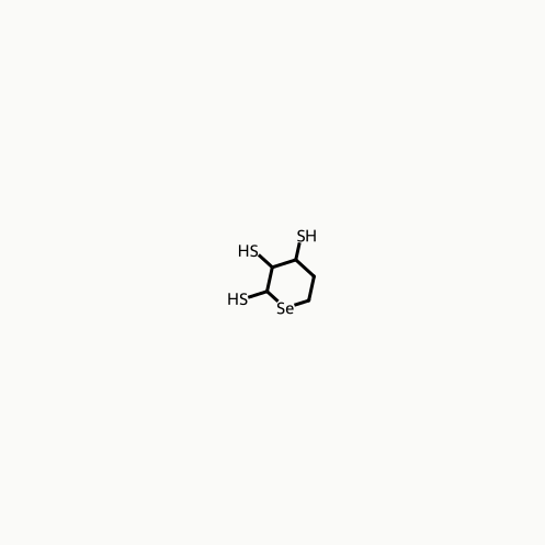 SC1CC[Se]C(S)C1S